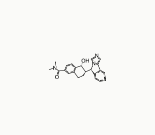 CN(C)C(=O)c1ccc2c(c1)CC[C@H]([C@@H]1c3ccccc3-c3cncn31)[C@H]2O